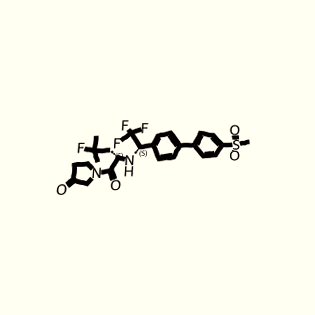 CC(C)(F)C[C@H](N[C@@H](c1ccc(-c2ccc(S(C)(=O)=O)cc2)cc1)C(F)(F)F)C(=O)N1CCC(=O)C1